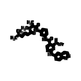 CCCNc1nc(Nc2ccc3nnccc3c2)ncc1C(=O)Nc1cccc(NC(=O)C(C)N(C)C(=O)/C=C/CN(C)C)c1